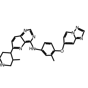 Cc1cc(Nc2ncnc3ccc(C4CCNCC4C)nc23)ccc1Oc1ccn2ncnc2c1